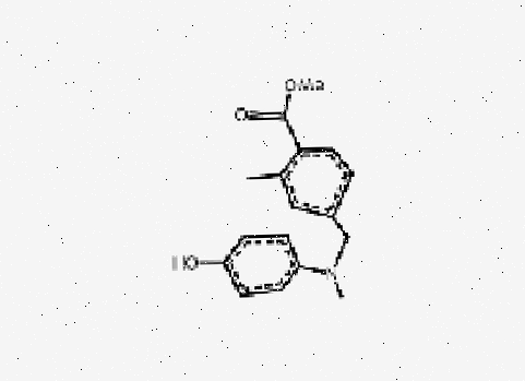 COC(=O)c1ccc(CN(C)c2ccc(O)cc2)cc1C